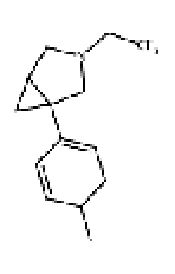 CC1C=CC(C23CC2CN(CC(F)(F)F)C3)=CC1